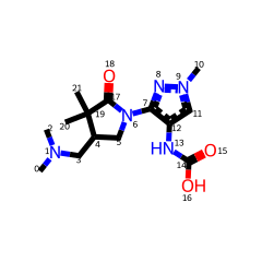 CN(C)CC1CN(c2nn(C)cc2NC(=O)O)C(=O)C1(C)C